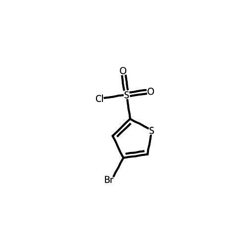 O=S(=O)(Cl)c1cc(Br)cs1